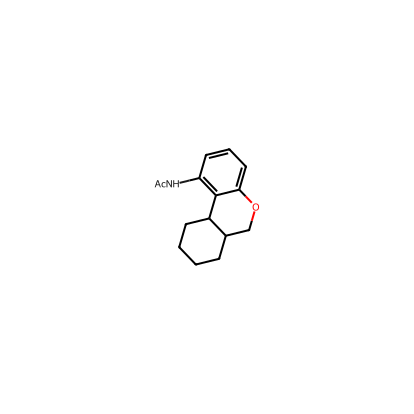 CC(=O)Nc1cccc2c1C1CCCCC1CO2